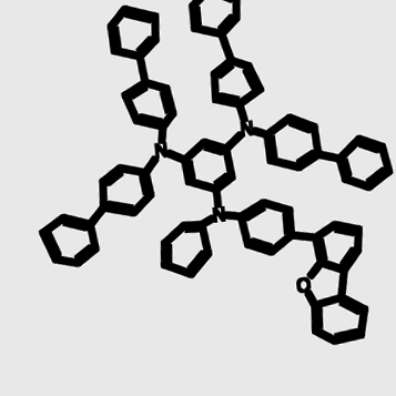 c1ccc(-c2ccc(N(c3ccc(-c4ccccc4)cc3)c3cc(N(c4ccc(-c5ccccc5)cc4)c4ccc(-c5ccccc5)cc4)cc(N(c4ccccc4)c4ccc(-c5cccc6c5oc5ccccc56)cc4)c3)cc2)cc1